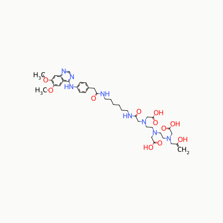 C=C(O)CN(CCN(CCN(CC(=O)O)CC(=O)NCCCCCCNC(=O)Cc1ccc(Nc2ncnc3cc(OC)c(OC)cc23)cc1)CC(=O)O)CC(=O)O